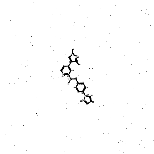 Cc1nn(C)cc1-c1ccnc(N(C)Cc2ccc(-n3cccn3)cc2)c1